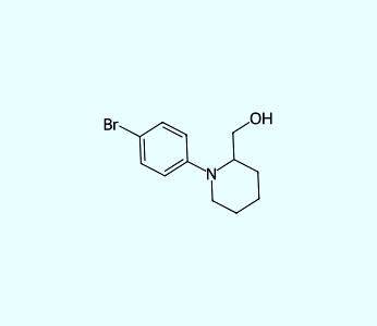 OCC1CCCCN1c1ccc(Br)cc1